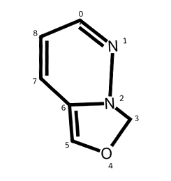 [C]1=NN2COC=C2C=C1